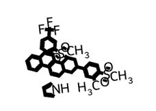 Cc1cc(C2CC3C=Cc4c(ccc5ccccc45)C3C(C)(S(=O)(=O)c3cccc(C(F)(F)F)c3)C2)ccc1S(C)(=O)=O.c1cc[nH]c1